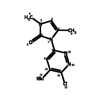 Cc1cn(C)c(=O)n1-c1cc(C(C)(C)C)c(Cl)nn1